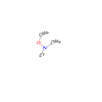 CCN(OC)OOC